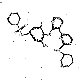 Cc1cc(NS(=O)(=O)C2CCCCC2)cc(F)c1Oc1ncccc1-c1ccnc(NC2CCCNC2)n1